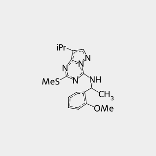 COc1ccccc1C(C)Nc1nc(SC)nc2c(C(C)C)cnn12